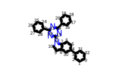 c1ccc(-c2ccc3c(ccn3-c3nc(-c4ccccc4)nc(-c4ccccc4)n3)c2)cc1